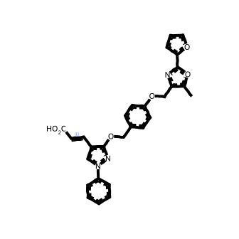 Cc1oc(-c2ccco2)nc1COc1ccc(COc2nn(-c3ccccc3)cc2/C=C/C(=O)O)cc1